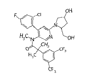 CN(C(=O)C(C)(C)c1cc(C(F)(F)F)cc(C(F)(F)F)c1)c1cnc(N2CC(O)CC2CO)cc1-c1ccc(F)cc1Cl